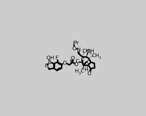 CC(C)O/N=C/[C@]1(C)C[C@@H](OC(=O)COc2ccc3c(c2F)B(O)OC3)[C@]2(C)[C@H](C)CC[C@]3(CCC(=O)[C@H]32)[C@@H](C)[C@@H]1O